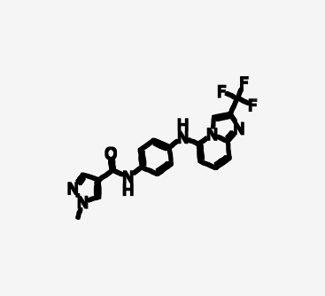 Cn1cc(C(=O)Nc2ccc(Nc3cccc4nc(C(F)(F)F)cn34)cc2)cn1